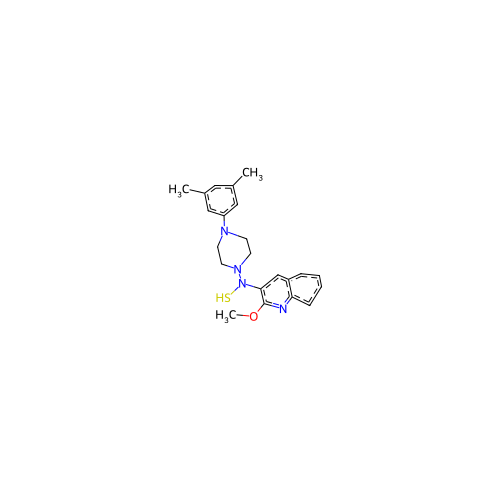 COc1nc2ccccc2cc1N(S)N1CCN(c2cc(C)cc(C)c2)CC1